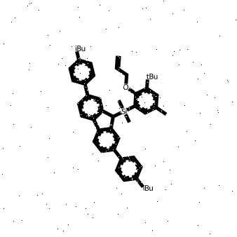 C=CCOc1c(C(C)(C)C)cc(C)cc1[Si](C)(C)C1c2cc(-c3ccc(C(C)CC)cc3)ccc2-c2ccc(-c3ccc(C(C)CC)cc3)cc21